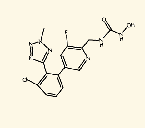 Cn1nnc(-c2c(Cl)cccc2-c2cnc(CNC(=O)NO)c(F)c2)n1